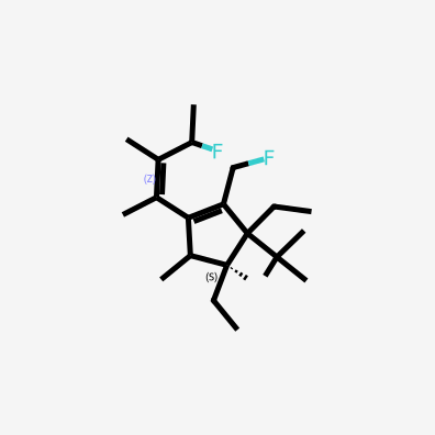 CCC1(C(C)(C)C)C(CF)=C(/C(C)=C(/C)C(C)F)C(C)[C@]1(C)CC